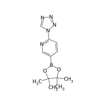 CC1(C)OB(c2ccc(-n3cnnn3)nc2)OC1(C)C